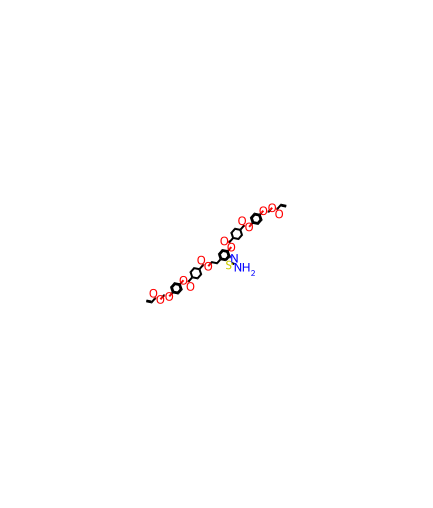 C=CC(=O)OCOc1ccc(OC(=O)C2CCC(C(=O)OCCc3ccc(OC(=O)C4CCC(C(=O)Oc5ccc(OCOC(=O)C=C)cc5)CC4)c4nc(N)sc34)CC2)cc1